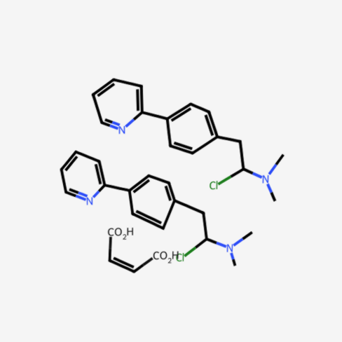 CN(C)C(Cl)Cc1ccc(-c2ccccn2)cc1.CN(C)C(Cl)Cc1ccc(-c2ccccn2)cc1.O=C(O)/C=C\C(=O)O